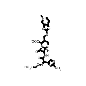 C[n+]1ccc2sc(SCC3=C(C(=O)[O-])N4C(=O)C(NC(=O)/C(=N\OCC(=O)O)c5csc(N)n5)[C@@H]4SC3)nc2c1